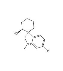 CNC[C@@]1(c2ccc(Cl)cc2)CCCC[C@@H]1O